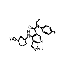 CCN(C(=O)c1cnc2[nH]ncc2c1NC1CCCC(O)C1)c1ccc(F)cc1